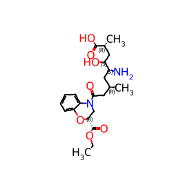 CCOC(=O)[C@H]1CN(C(=O)C[C@H](C)C[C@H](N)[C@@H](O)C[C@@H](C)C(=O)O)c2ccccc2O1